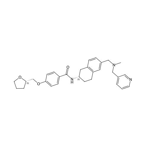 CN(Cc1cccnc1)Cc1ccc2c(c1)CC[C@H](NC(=O)c1ccc(OC[C@@H]3CCCO3)cc1)C2